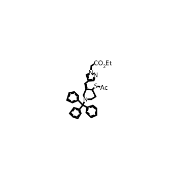 CCOC(=O)Cn1cc(C=C2CN(C(c3ccccc3)(c3ccccc3)c3ccccc3)CCC2SC(C)=O)cn1